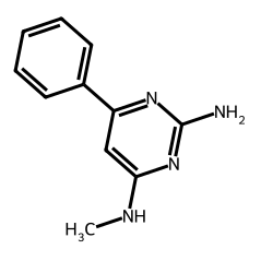 CNc1cc(-c2ccccc2)nc(N)n1